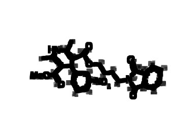 COC(=O)C1=C(C)NC(C)=C(C(=O)OCCCCN2C(=O)c3ccccc3C2=O)C1c1cccc([N+](=O)[O-])c1